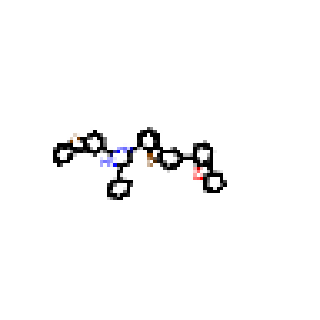 C1=C(c2ccccc2)NC(c2ccc3sc4ccccc4c3c2)NC1c1cccc2c1sc1ccc(-c3cccc4c3oc3ccccc34)cc12